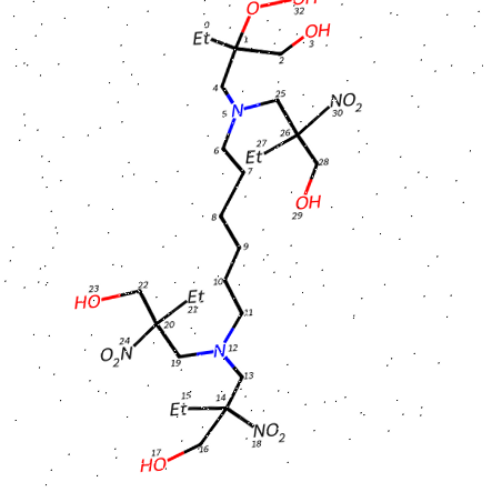 CCC(CO)(CN(CCCCCCN(CC(CC)(CO)[N+](=O)[O-])CC(CC)(CO)[N+](=O)[O-])CC(CC)(CO)[N+](=O)[O-])OO